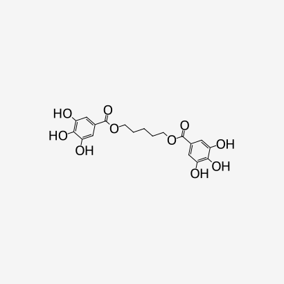 O=C(OCCCCCOC(=O)c1cc(O)c(O)c(O)c1)c1cc(O)c(O)c(O)c1